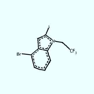 FC(F)(F)Cn1c(I)cc2c(Br)cccc21